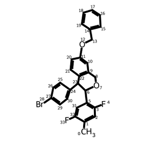 Cc1cc(F)c(C2OCc3cc(OCc4ccccc4)ccc3C2c2ccc(Br)cc2)cc1F